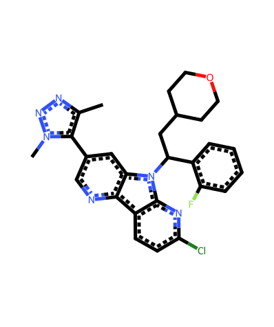 Cc1nnn(C)c1-c1cnc2c3ccc(Cl)nc3n(C(CC3CCOCC3)c3ccccc3F)c2c1